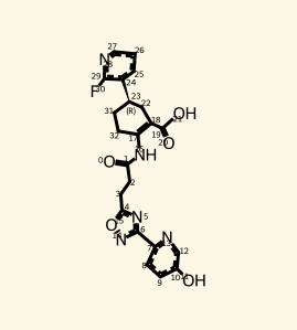 O=C(CCc1nc(-c2ccc(O)cn2)no1)NC1=C(C(=O)O)C[C@H](c2cccnc2F)CC1